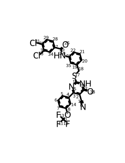 N#Cc1c(-c2cccc(OC(F)(F)F)c2)nc(SCc2cccc(NC(=O)c3ccc(Cl)c(Cl)c3)c2)[nH]c1=O